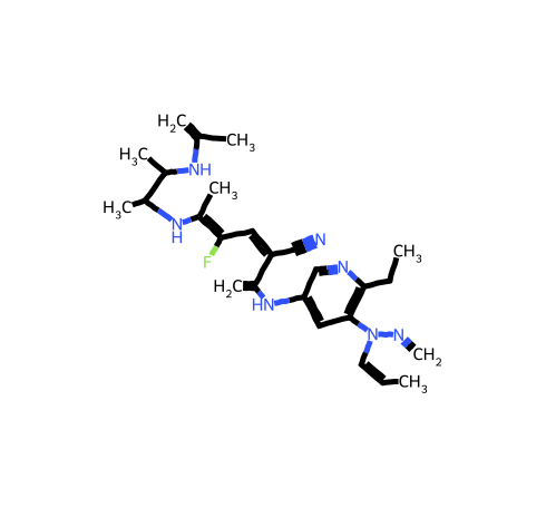 C=NN(/C=C\C)c1cc(NC(=C)/C(C#N)=C\C(F)=C(/C)NC(C)C(C)NC(=C)C)cnc1CC